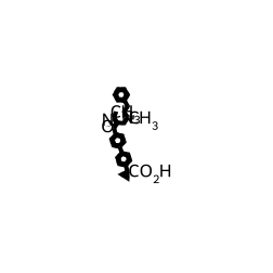 Cc1noc(-c2ccc(-c3ccc(C4(C(=O)O)CC4)cc3)cc2)c1CN(C)CCc1ccccc1